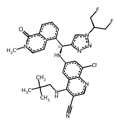 Cn1ccc2c([C@H](Nc3cc(Cl)c4ncc(C#N)c(NCC(C)(C)C)c4c3)c3cn(C(CF)CF)nn3)cccc2c1=O